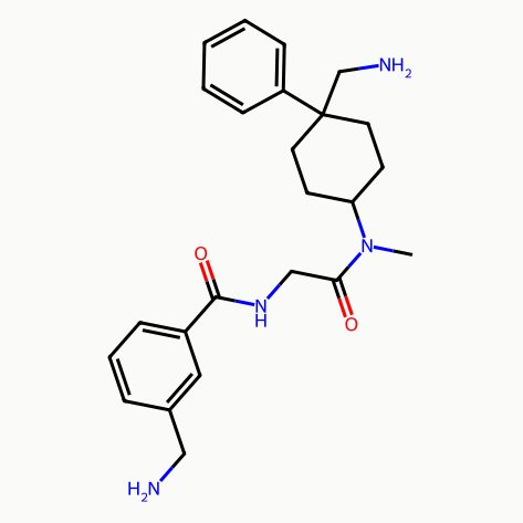 CN(C(=O)CNC(=O)c1cccc(CN)c1)C1CCC(CN)(c2ccccc2)CC1